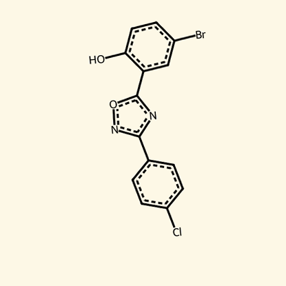 Oc1ccc(Br)cc1-c1nc(-c2ccc(Cl)cc2)no1